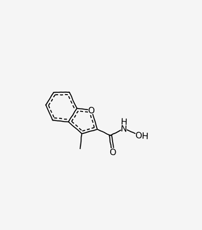 Cc1c(C(=O)NO)oc2ccccc12